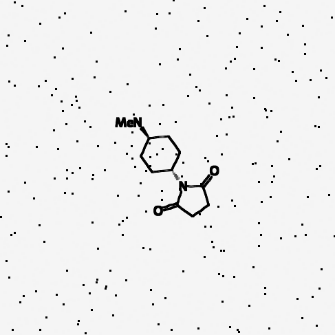 CN[C@H]1CC[C@H](N2C(=O)CCC2=O)CC1